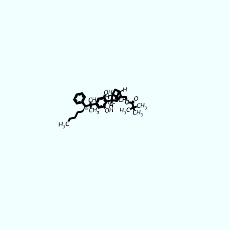 CCCCC[C@@H](c1ccccc1)C(C)(C)c1cc(O)c([C@H]2C=C(COC(=O)C(C)(C)C)[C@H]3C[C@@H]2C3(C)C)c(O)c1